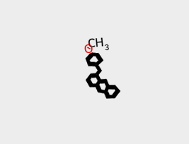 COc1ccc(Cc2cccc3cc4ccccc4cc23)cc1